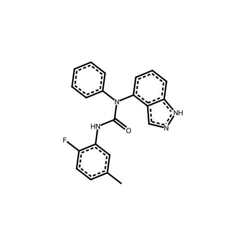 Cc1ccc(F)c(NC(=O)N(c2ccccc2)c2cccc3[nH]ncc23)c1